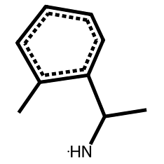 Cc1ccccc1C(C)[NH]